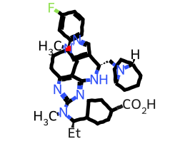 CC[C@H](C1CCC(C(=O)O)CC1)N(C)c1nc2c(c(N[C@@H](CN3C4CCC[C@@H]3CC4)c3cnn(C)c3)n1)C[C@H](c1cccc(F)c1)CC2